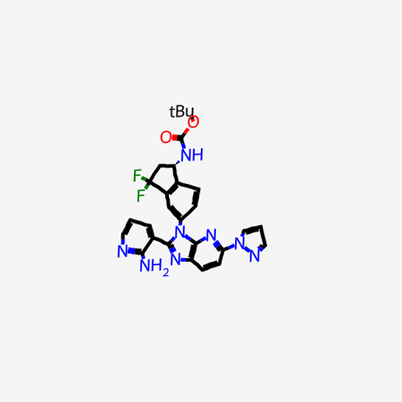 CC(C)(C)OC(=O)N[C@H]1CC(F)(F)c2cc(-n3c(-c4cccnc4N)nc4ccc(-n5cccn5)nc43)ccc21